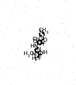 CNc1cc(Nc2cc(F)c(C(=O)N3CCN(C)CC3)cc2OC)nc2[nH]cc(C(F)(F)F)c12